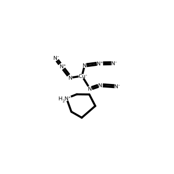 C1CC[NH2+]CC1.[N-]=[N+]=[N][Cu-]([N]=[N+]=[N-])[N]=[N+]=[N-]